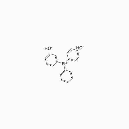 [OH-].[OH-].c1cc[c]([Bi+2]([c]2ccccc2)[c]2ccccc2)cc1